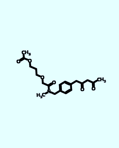 CC(=O)CC(=O)Cc1ccc(CN(C)C(=O)COCCCOC(C)=O)cc1